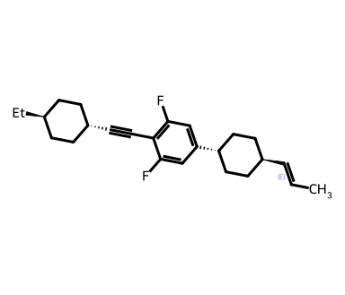 C/C=C/[C@H]1CC[C@H](c2cc(F)c(C#C[C@H]3CC[C@H](CC)CC3)c(F)c2)CC1